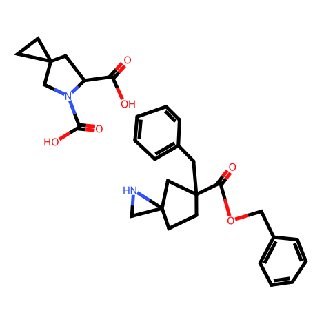 O=C(O)C1CC2(CC2)CN1C(=O)O.O=C(OCc1ccccc1)C1(Cc2ccccc2)CCC2(CN2)C1